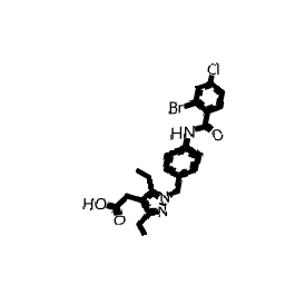 CCc1nn(Cc2ccc(NC(=O)c3ccc(Cl)cc3Br)cc2)c(CC)c1CC(=O)O